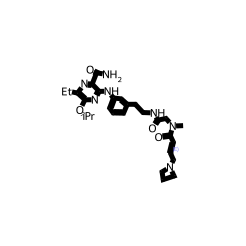 CCc1nc(C(N)=O)c(Nc2cccc(CCNC(=O)CN(C)C(=O)/C=C/CN3CCC3)c2)nc1OC(C)C